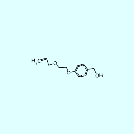 C=CCOCCOc1ccc(CO)cc1